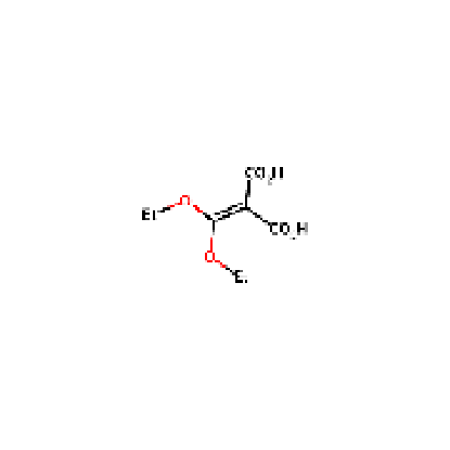 CCOC(OCC)=C(C(=O)O)C(=O)O